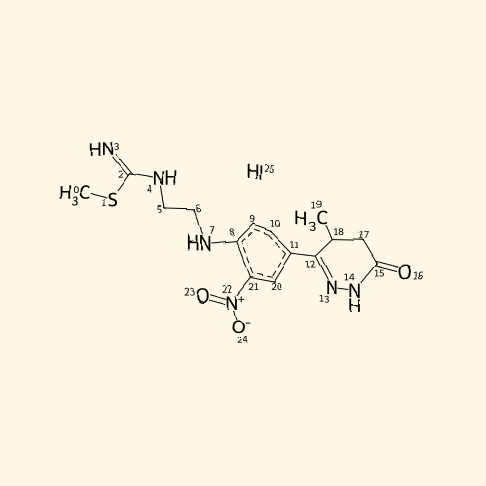 CSC(=N)NCCNc1ccc(C2=NNC(=O)CC2C)cc1[N+](=O)[O-].I